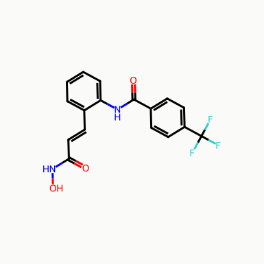 O=C(C=Cc1ccccc1NC(=O)c1ccc(C(F)(F)F)cc1)NO